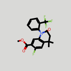 COC(=O)c1cc2c(cc1F)C(C)(C)CC(=O)N2c1ccccc1C(F)(F)F